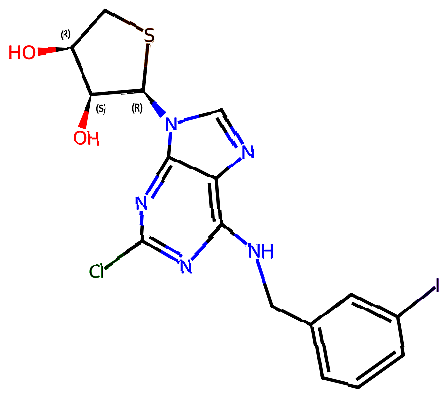 O[C@@H]1[C@H](n2cnc3c(NCc4cccc(I)c4)nc(Cl)nc32)SC[C@@H]1O